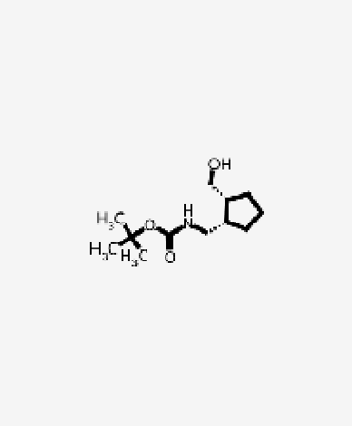 CC(C)(C)OC(=O)NC[C@H]1CCC[C@H]1CO